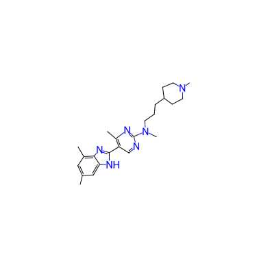 Cc1cc(C)c2nc(-c3cnc(N(C)CCCC4CCN(C)CC4)nc3C)[nH]c2c1